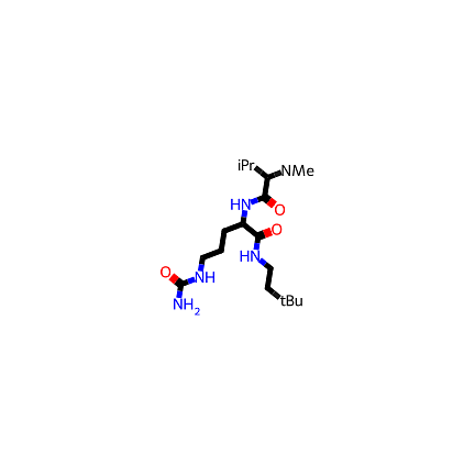 CNC(C(=O)NC(CCCNC(N)=O)C(=O)NCCC(C)(C)C)C(C)C